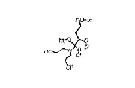 CCCCCCCCCCCCC(OCC)C(OCC)(OCC)N(CCO)CCO